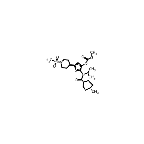 COC(=O)Oc1cc(C2CCN(S(C)(=O)=O)CC2)sc1N(C(=O)[C@H]1CC[C@H](C)CC1)C(C)C